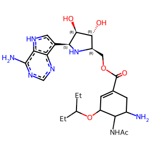 CCC(CC)OC1C=C(C(=O)OC[C@H]2N[C@@H](c3c[nH]c4c(N)ncnc34)[C@@H](O)[C@@H]2O)CC(N)C1NC(C)=O